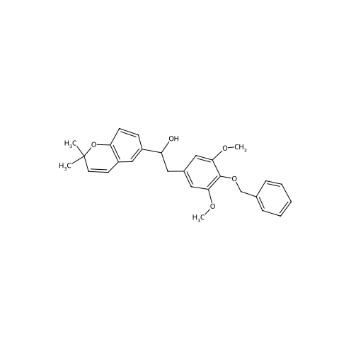 COc1cc(CC(O)c2ccc3c(c2)C=CC(C)(C)O3)cc(OC)c1OCc1ccccc1